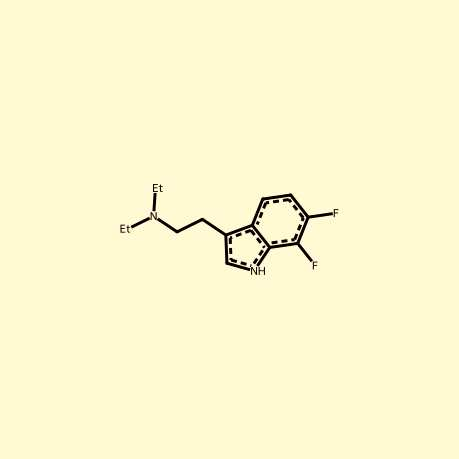 CCN(CC)CCc1c[nH]c2c(F)c(F)ccc12